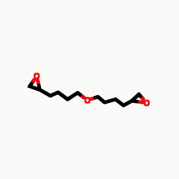 C(CCC1CO1)COCCCCC1CO1